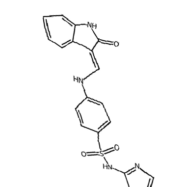 O=C1Nc2ccccc2/C1=C\Nc1ccc(S(=O)(=O)Nc2nccs2)cc1